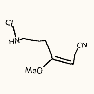 CO/C(=C/C#N)CNCl